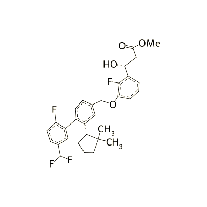 COC(=O)C[C@@H](O)c1cccc(OCc2ccc(-c3cc(C(F)F)ccc3F)c([C@H]3CCCC3(C)C)c2)c1F